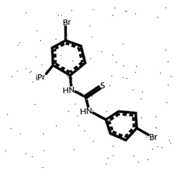 CC(C)c1cc(Br)ccc1NC(=S)Nc1ccc(Br)cc1